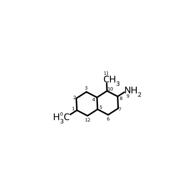 CC1CCC2C(CCC(N)C2C)C1